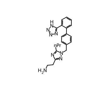 CCCc1nc(CCN)nn1Cc1ccc(-c2ccccc2-c2nnn[nH]2)cc1